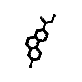 O=C(CBr)c1ccc2c(ccc3cc(Br)ccc32)c1